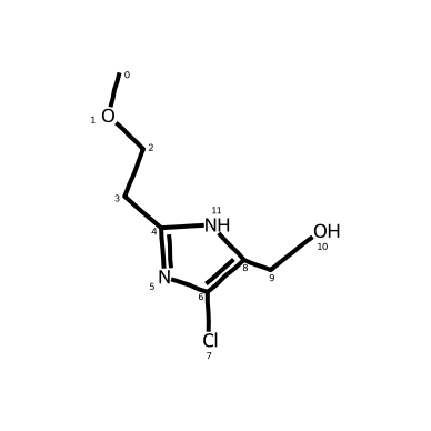 COCCc1nc(Cl)c(CO)[nH]1